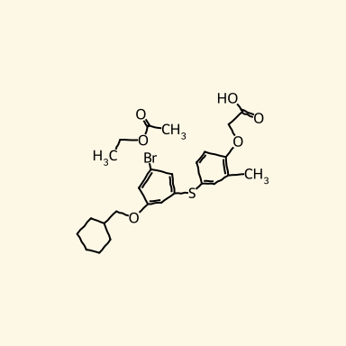 CCOC(C)=O.Cc1cc(Sc2cc(Br)cc(OCC3CCCCC3)c2)ccc1OCC(=O)O